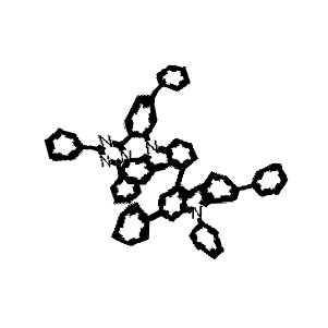 c1ccc(-c2ccc(-c3nc(-c4ccccc4)nc(-c4ccccc4)n3)c(-n3c4ccccc4c4c(-c5cc(-c6ccccc6)cc6c5c5ccc(-c7ccccc7)cc5n6-c5ccccc5)cccc43)c2)cc1